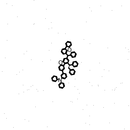 c1ccc(C[C@H](c2ccccc2)c2cc(C(c3ccccc3)c3cccc4c3oc3ccccc34)cc3oc4ccc(-c5cccc(N(c6ccccc6)c6ccccc6)c5)cc4c23)cc1